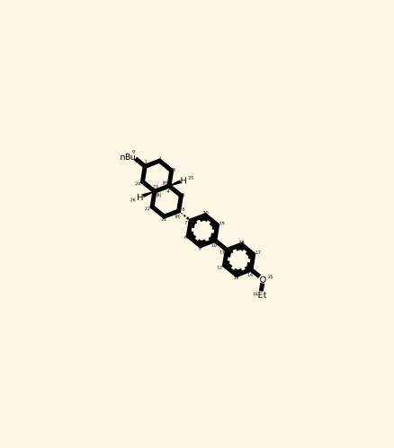 CCCCC1CC[C@@H]2C[C@H](c3ccc(-c4ccc(OCC)cc4)cc3)CC[C@@H]2C1